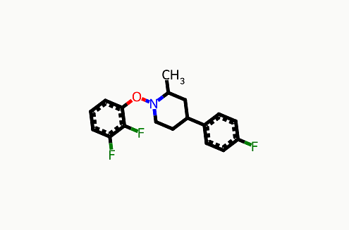 CC1CC(c2ccc(F)cc2)CCN1Oc1cccc(F)c1F